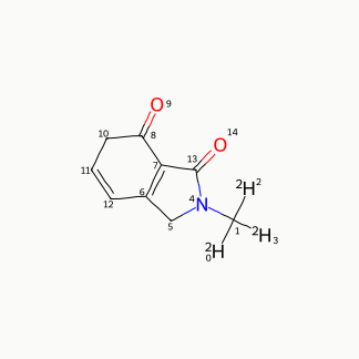 [2H]C([2H])([2H])N1CC2=C(C(=O)CC=C2)C1=O